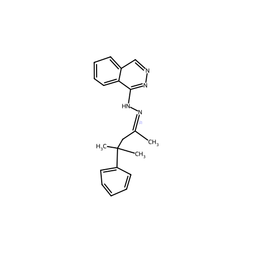 C/C(CC(C)(C)c1ccccc1)=N/Nc1nncc2ccccc12